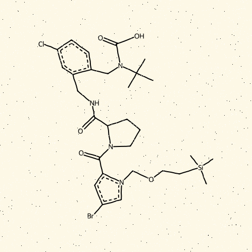 CC(C)(C)N(Cc1ccc(Cl)cc1CNC(=O)C1CCCN1C(=O)c1cc(Br)cn1COCC[Si](C)(C)C)C(=O)O